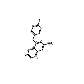 Nc1cc(Cc2ccc(F)cc2)c2nccnc2c1